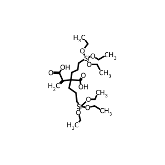 C=C(C(=O)O)C(CCC[Si](OCC)(OCC)OCC)(CCC[Si](OCC)(OCC)OCC)C(=O)O